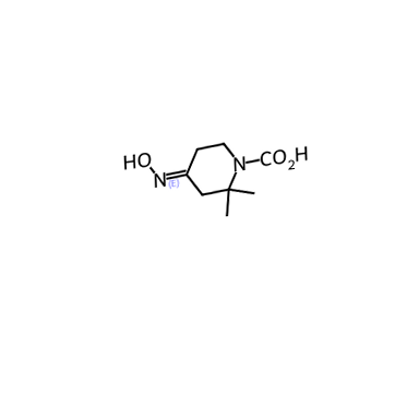 CC1(C)C/C(=N/O)CCN1C(=O)O